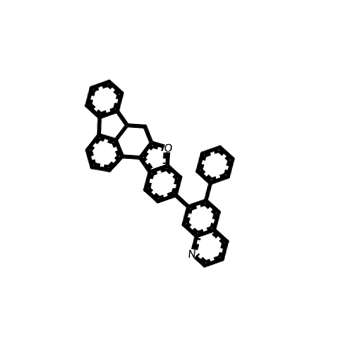 c1ccc(-c2cc3cccnc3cc2-c2ccc3c4c(oc3c2)CC2c3ccccc3-c3cccc-4c32)cc1